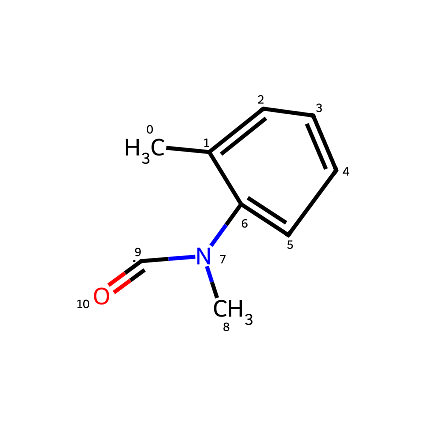 Cc1ccccc1N(C)[C]=O